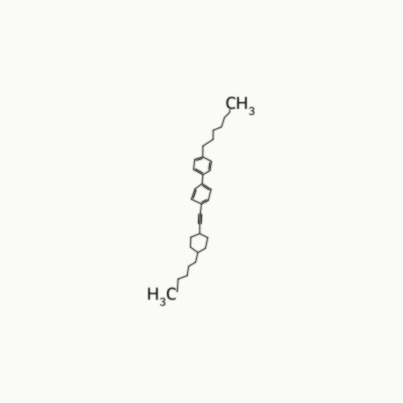 CCCCCCCc1ccc(-c2ccc(C#CC3CCC(CCCCCC)CC3)cc2)cc1